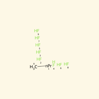 CCCC.F.F.F.F.F.F.F.F